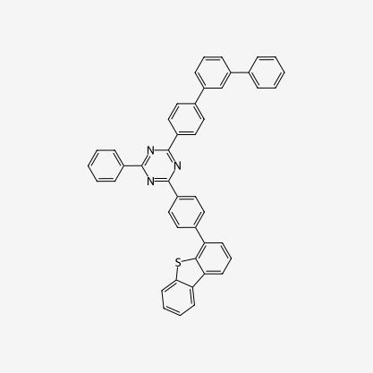 c1ccc(-c2cccc(-c3ccc(-c4nc(-c5ccccc5)nc(-c5ccc(-c6cccc7c6sc6ccccc67)cc5)n4)cc3)c2)cc1